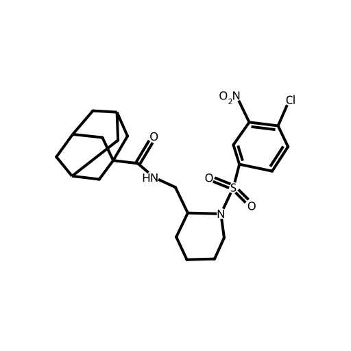 O=C(NCC1CCCCN1S(=O)(=O)c1ccc(Cl)c([N+](=O)[O-])c1)C12CC3CC(CC(C3)C1)C2